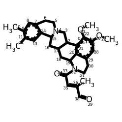 CCC1CN2CCc3cc(C)c(C)cc3C2CC1CC1c2cc(OC)c(OC)cc2CCN1C(=O)/C=C(\C)C=O